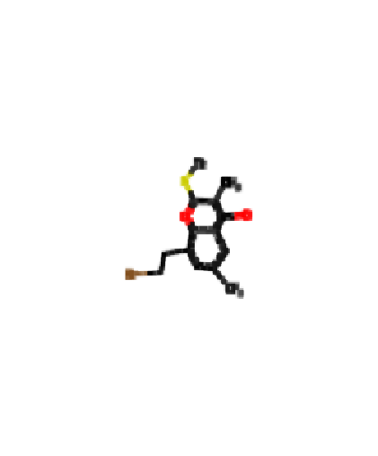 CCSc1oc2c(CCBr)cc(C(F)(F)F)cc2c(=O)c1C